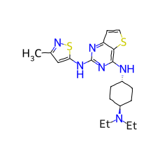 CCN(CC)[C@H]1CC[C@H](Nc2nc(Nc3cc(C)ns3)nc3ccsc23)CC1